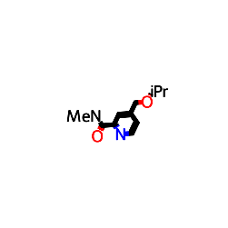 CNC(=O)c1cc(COC(C)C)ccn1